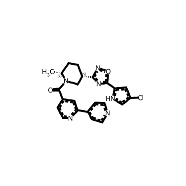 C[C@@H]1CC[C@H](c2noc(-c3cc(Cl)c[nH]3)n2)CN1C(=O)c1ccnc(-c2ccncc2)c1